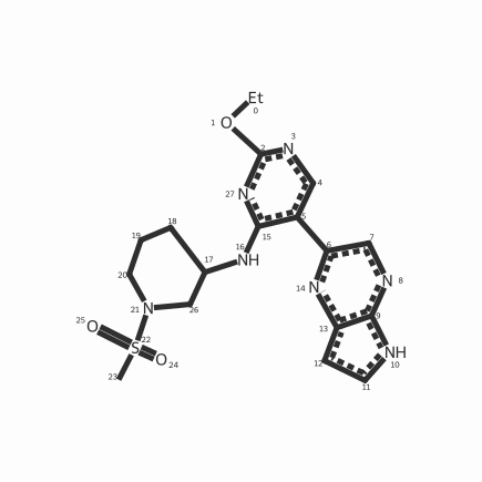 CCOc1ncc(-c2cnc3[nH]ccc3n2)c(NC2CCCN(S(C)(=O)=O)C2)n1